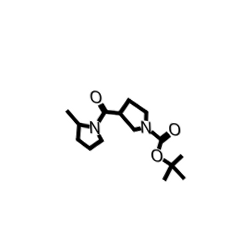 CC1CCCN1C(=O)C1CCN(C(=O)OC(C)(C)C)C1